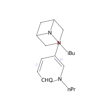 CCCN(C)/C=C(\C=C/C=O)CN1C2CC1CN(C(C)CC)C2